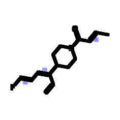 C=C/C(=C\C=C\F)C1CCN(C(=O)/C=C/C)CC1